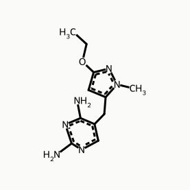 CCOc1cc(Cc2cnc(N)nc2N)n(C)n1